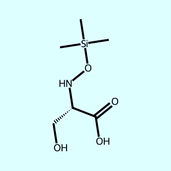 C[Si](C)(C)ON[C@@H](CO)C(=O)O